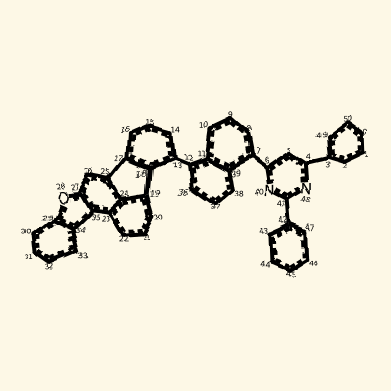 c1ccc(-c2cc(-c3cccc4c(-c5cccc6c5-c5cccc7c5c-6cc5oc6ccccc6c57)cccc34)nc(-c3ccccc3)n2)cc1